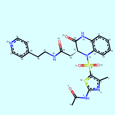 CC(=O)Nc1nc(C)c(S(=O)(=O)N2c3ccccc3NC(=O)[C@H]2CC(=O)NCCc2ccncc2)s1